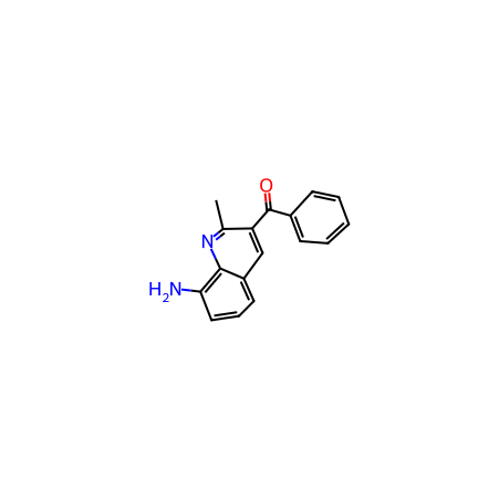 Cc1nc2c(N)cccc2cc1C(=O)c1ccccc1